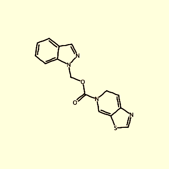 O=C(OCn1ncc2ccccc21)N1C=c2scnc2=CC1